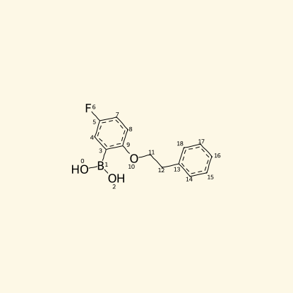 OB(O)c1cc(F)ccc1OCCc1ccccc1